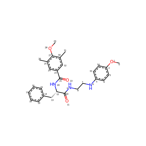 COc1ccc(NCCNC(=O)[C@H](Cc2ccccc2)NC(=O)c2cc(C)c(OC)c(C)c2)cc1